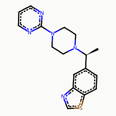 C[C@@H](c1ccc2scnc2c1)N1CCN(c2nc[c]cn2)CC1